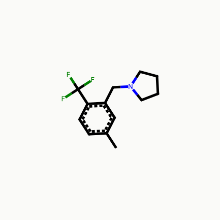 Cc1ccc(C(F)(F)F)c(CN2CCCC2)c1